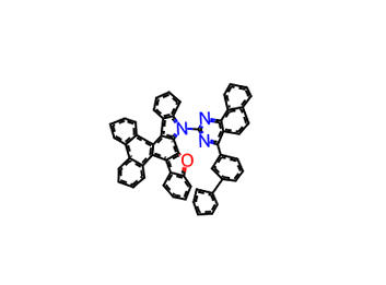 c1ccc(-c2cccc(-c3nc(-n4c5ccccc5c5c6c7ccccc7c7ccccc7c6c6c7ccccc7oc6c54)nc4c3ccc3ccccc34)c2)cc1